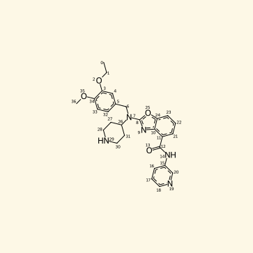 CCOc1cc(CN(c2nc3c(C(=O)Nc4cccnc4)cccc3o2)C2CCNCC2)ccc1OC